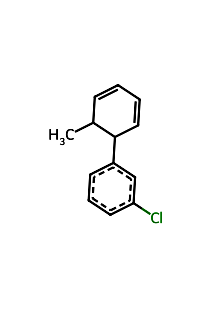 CC1C=CC=CC1c1cccc(Cl)c1